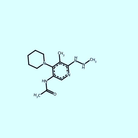 CNNc1ncc(NC(C)=O)c(N2CCCCC2)c1C